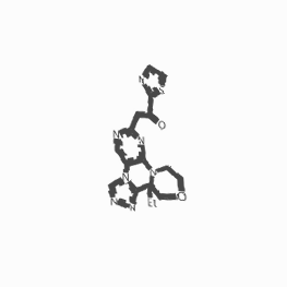 CCC12COCCN1c1nc(CC(=O)c3nccs3)ncc1-n1cnnc12